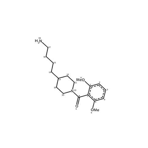 COc1cccc(OC)c1C(=O)N1CCC(CCCCN)CC1